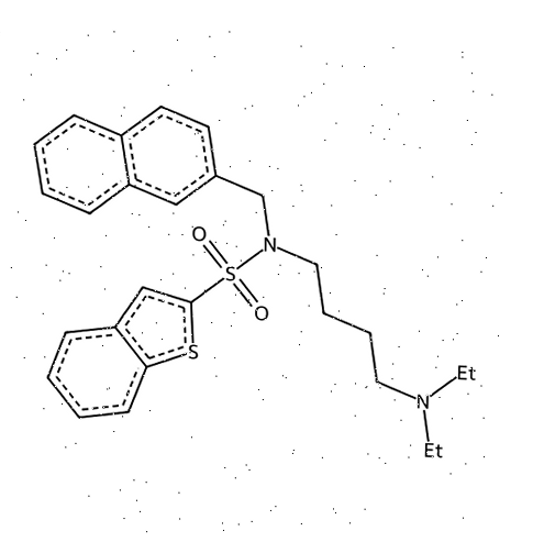 CCN(CC)CCCCN(Cc1ccc2ccccc2c1)S(=O)(=O)c1cc2ccccc2s1